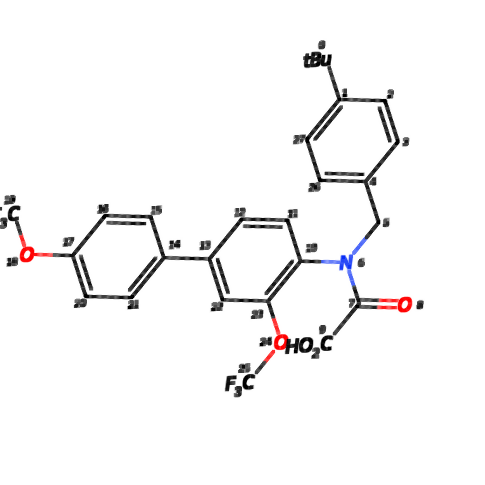 CC(C)(C)c1ccc(CN(C(=O)C(=O)O)c2ccc(-c3ccc(OC(F)(F)F)cc3)cc2OC(F)(F)F)cc1